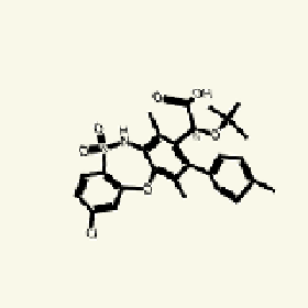 Cc1ccc(-c2c(C)c3c(c(C)c2[C@H](OC(C)(C)C)C(=O)O)NS(=O)(=O)c2ccc(Cl)cc2O3)cc1